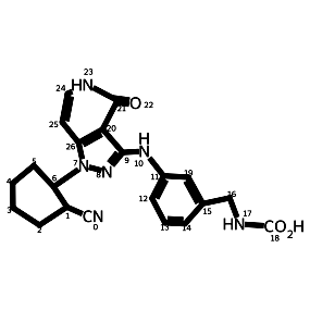 N#CC1CCCCC1n1nc(Nc2cccc(CNC(=O)O)c2)c2c(=O)[nH]ccc21